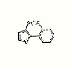 Cc1ccccc1-n1nc[c]c1C